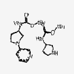 CC(C)(C)OC(=O)NC1CCN(c2cccnc2)C1.CC(C)(C)OC(=O)NC1CCNC1